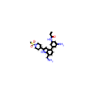 C=CC(=O)Nc1cc(N)cc(-c2ccc(CN)c3[nH]c(C4=CCN(S(C)(=O)=O)CC4)cc23)c1